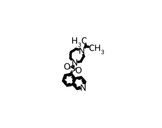 CC(C)N1CCCN(S(=O)(=O)c2cccc3cnccc23)CC1